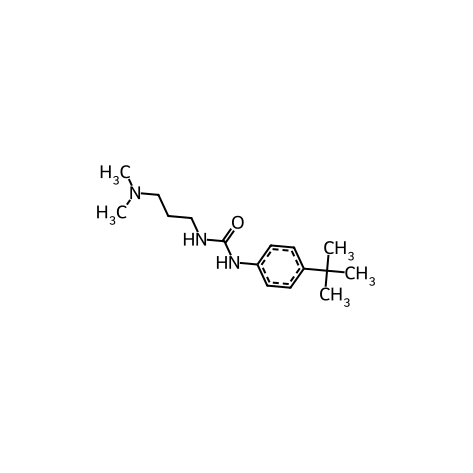 CN(C)CCCNC(=O)Nc1ccc(C(C)(C)C)cc1